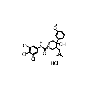 COc1cccc(C2(O)CCN(C(=O)Nc3cc(Cl)c(Cl)c(Cl)c3)CC2CN(C)C)c1.Cl